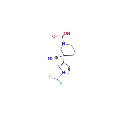 N#CC1(c2ccn(C(F)F)n2)CCCN(C(=O)O)C1